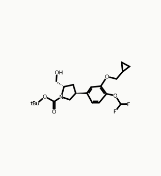 CC(C)(C)OC(=O)N1C[C@H](c2ccc(OC(F)F)c(OCC3CC3)c2)C[C@H]1CO